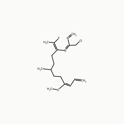 C=C/C=C(\CCC(C)CCC(/N=C(/CCl)N=C)=C(\C)F)OC